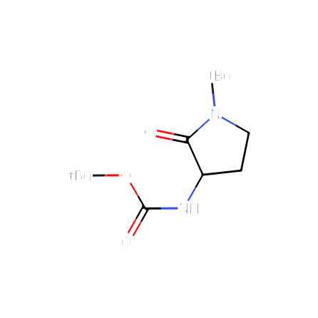 CC(C)(C)OC(=O)NC1CCN(C(C)(C)C)C1=O